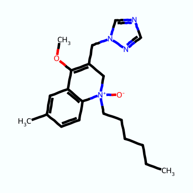 CCCCCC[N+]1([O-])CC(Cn2cncn2)=C(OC)c2cc(C)ccc21